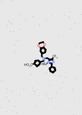 CCCCn1c(-c2ccccc2)nc(C(F)(F)F)c1CN(Cc1ccc(C(=O)O)cc1)Cc1ccc2c(c1)OCCO2